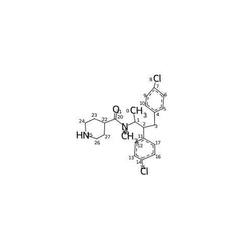 CC(C(Cc1ccc(Cl)cc1)c1ccc(Cl)cc1)N(C)C(=O)C1CCNCC1